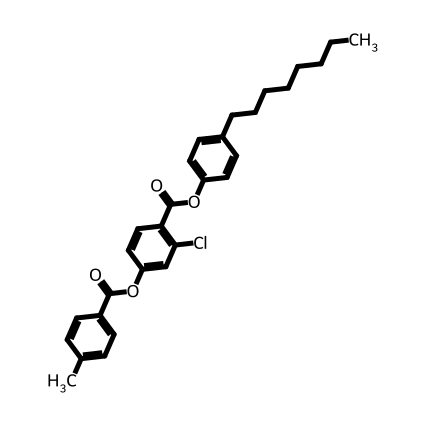 CCCCCCCCc1ccc(OC(=O)c2ccc(OC(=O)c3ccc(C)cc3)cc2Cl)cc1